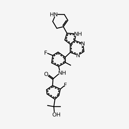 Cc1c(NC(=O)c2ccc(C(C)(C)O)cc2F)cc(F)cc1-c1ncnc2[nH]c(C3=CCNCC3)cc12